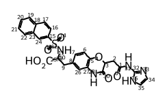 O=C(CC1Oc2ccc(C[C@H](NS(=O)(=O)c3ccc4ccccc4c3)C(=O)O)cc2NC1=O)Nc1ncc[nH]1